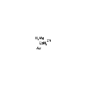 [Au].[CaH2].[MgH2].[Zn]